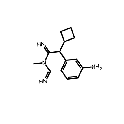 CN(C=N)C(=N)C(c1cccc(N)c1)C1CCC1